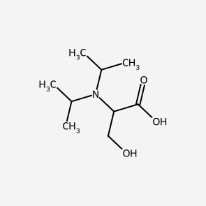 CC(C)N(C(C)C)C(CO)C(=O)O